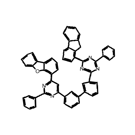 c1ccc(-c2nc(-c3cccc(-c4cccc(-c5nc(-c6ccccc6)nc(-c6cccc7c6Cc6ccccc6-7)n5)c4)c3)cc(-c3cccc4c3oc3ccccc34)n2)cc1